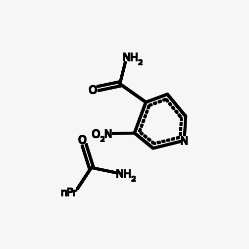 CCCC(N)=O.NC(=O)c1ccncc1[N+](=O)[O-]